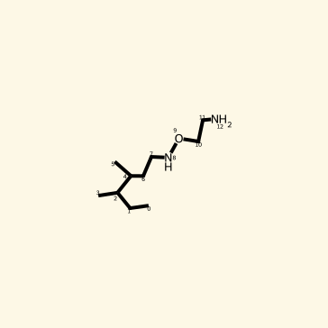 CCC(C)C(C)CCNOCCN